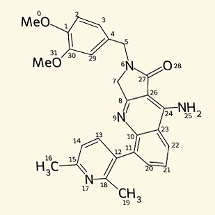 COc1ccc(CN2Cc3nc4c(-c5ccc(C)nc5C)cccc4c(N)c3C2=O)cc1OC